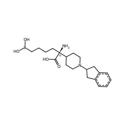 N[C@](CCCCB(O)O)(C(=O)O)C1CCN(C2Cc3ccccc3C2)CC1